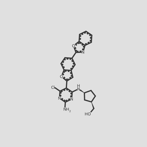 Nc1nc(Cl)c(-c2cc3cc(-c4nc5ccccc5o4)ccc3o2)c(N[C@H]2CC[C@@H](CO)C2)n1